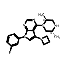 C[C@@H]1CN(c2ncnc3c2c(N2CCC2)cn3-c2cccc(F)c2)[C@@H](C)CN1